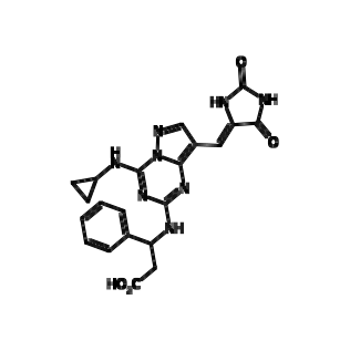 O=C(O)CC(Nc1nc(NC2CC2)n2ncc(/C=C3\NC(=O)NC3=O)c2n1)c1ccccc1